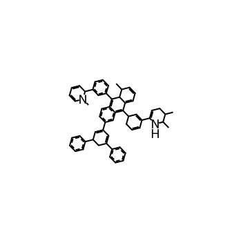 CC1C=CC=C2C(C3C=C(C4=CCC(C)C(C)N4)C=CC3)=c3cc(C4=CC(c5ccccc5)CC(c5ccccc5)=C4)ccc3=C(c3cccc(C4C=CC=CN4C)c3)C21